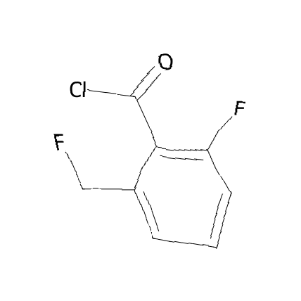 O=C(Cl)c1c(F)cccc1CF